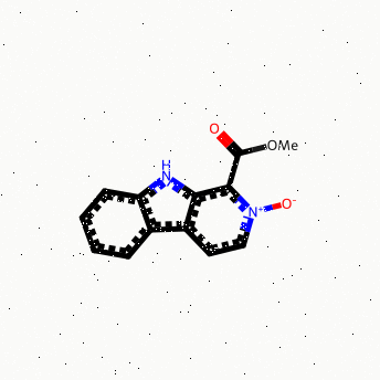 COC(=O)c1c2[nH]c3ccccc3c2cc[n+]1[O-]